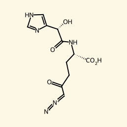 [N-]=[N+]=CC(=O)CC[C@H](NC(=O)[C@@H](O)c1c[nH]cn1)C(=O)O